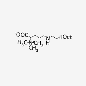 CCCCCCCCCCNCCCC(C(=O)[O-])[N+](C)(C)C